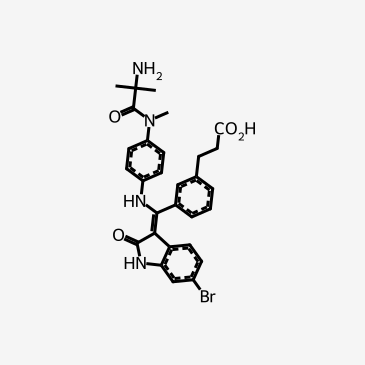 CN(C(=O)C(C)(C)N)c1ccc(N/C(=C2\C(=O)Nc3cc(Br)ccc32)c2cccc(CCC(=O)O)c2)cc1